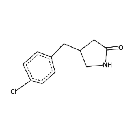 O=C1CC(Cc2ccc(Cl)cc2)CN1